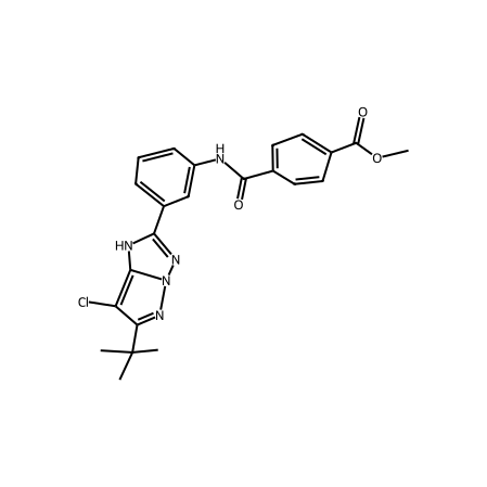 COC(=O)c1ccc(C(=O)Nc2cccc(-c3nn4nc(C(C)(C)C)c(Cl)c4[nH]3)c2)cc1